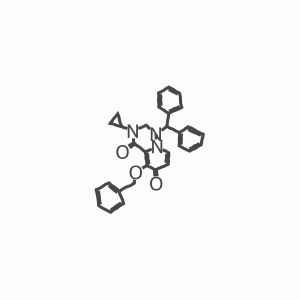 O=C1c2c(OCc3ccccc3)c(=O)ccn2N(C(c2ccccc2)c2ccccc2)CN1C1CC1